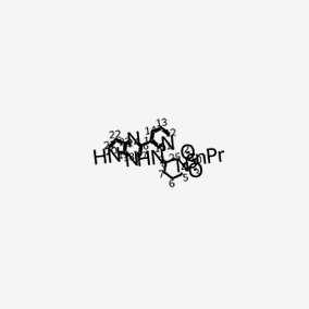 CCCS(=O)(=O)N1CCC[C@@H](Nc2ncccc2-c2cnc3[nH]ccc3n2)C1